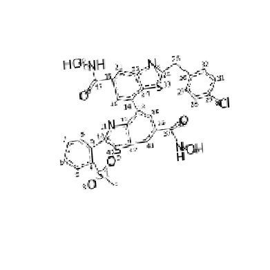 CS(=O)(=O)c1ccccc1-c1nc2c(-c3cc(C(=O)NO)cc4nc(Cc5ccc(Cl)cc5)sc34)cc(C(=O)NO)cc2s1